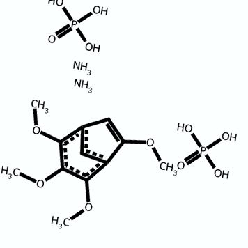 COC1=Cc2cc1c(OC)c(OC)c2OC.N.N.O=P(O)(O)O.O=P(O)(O)O